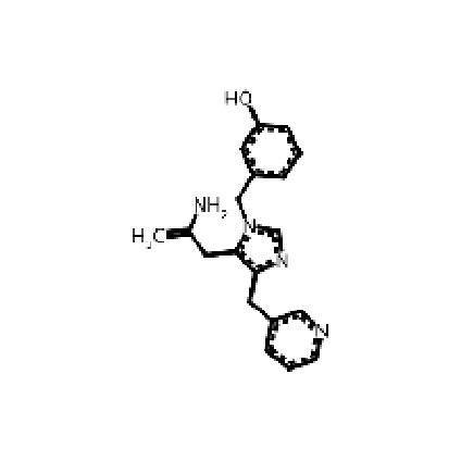 C=C(N)Cc1c(Cc2cccnc2)ncn1Cc1cccc(O)c1